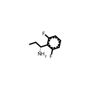 CC[C@@H](N)c1c(F)cccc1F